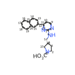 O=C(O)N1CC[C@@H](CNc2nccc(-c3ccc4ccccc4c3)n2)C1